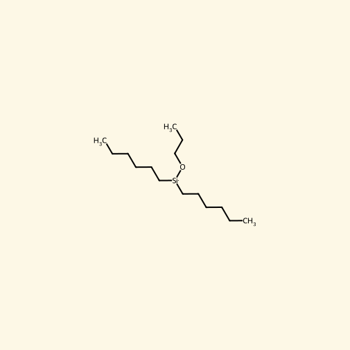 CCCCCC[Si](CCCCCC)OCCC